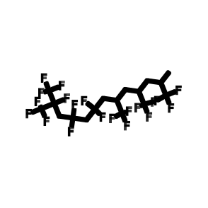 CC(CC(CC(CC(F)(F)CC(F)(F)CC(F)(C(F)(F)F)C(F)(F)F)C(F)(F)F)C(F)(F)F)C(F)(F)F